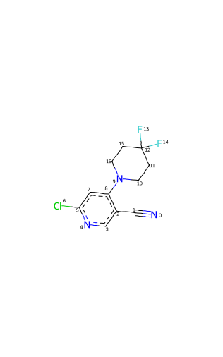 N#Cc1cnc(Cl)cc1N1CCC(F)(F)CC1